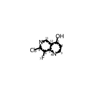 Oc1ccnc2c(F)c(Cl)ncc12